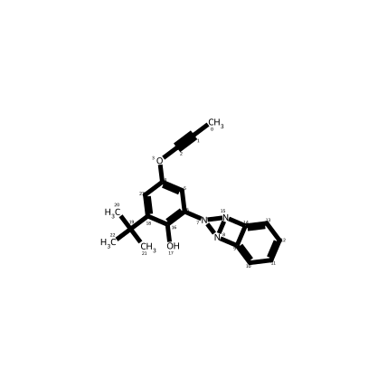 CC#COc1cc(-n2n3c4ccccc4n23)c(O)c(C(C)(C)C)c1